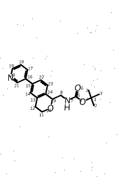 CC(C)(C)OC(=O)NCC1OCCc2cc(-c3cccnc3)ccc21